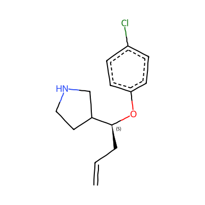 C=CC[C@H](Oc1ccc(Cl)cc1)C1CCNC1